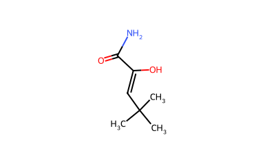 CC(C)(C)/C=C(\O)C(N)=O